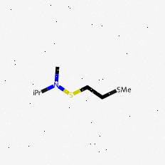 CSCCSN(C)C(C)C